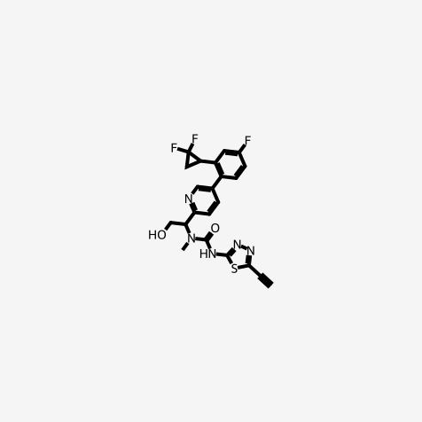 C#Cc1nnc(NC(=O)N(C)C(CO)c2ccc(-c3ccc(F)cc3C3CC3(F)F)cn2)s1